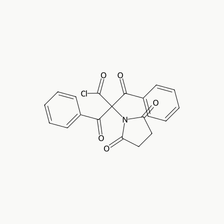 O=C1CCC(=O)N1C(C(=O)Cl)(C(=O)c1ccccc1)C(=O)c1ccccc1